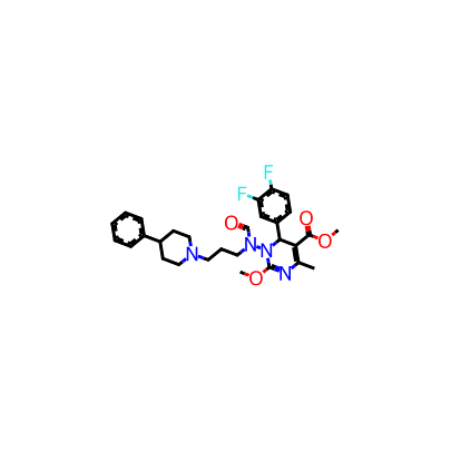 COC(=O)C1=C(C)N=C(OC)N(N(C=O)CCCN2CCC(c3ccccc3)CC2)C1c1ccc(F)c(F)c1